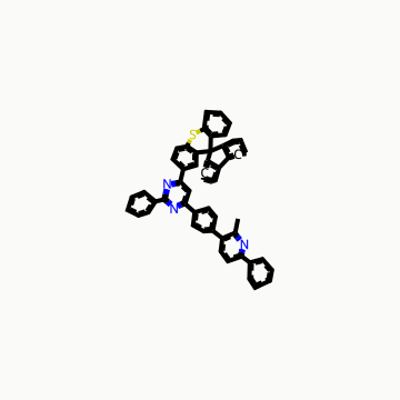 Cc1nc(-c2ccccc2)ccc1-c1ccc(-c2cc(-c3ccc4c(c3)C3(c5ccccc5S4)c4ccccc4-c4ccccc43)nc(-c3ccccc3)n2)cc1